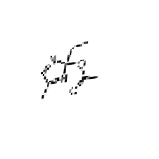 CCC1(OC(C)=O)N=CC(C)=N1